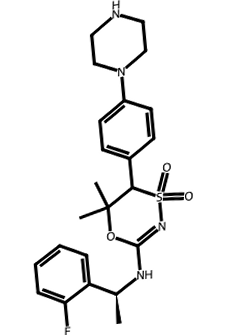 C[C@H](NC1=NS(=O)(=O)C(c2ccc(N3CCNCC3)cc2)C(C)(C)O1)c1ccccc1F